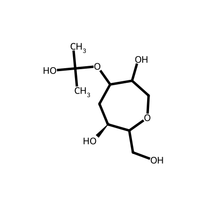 CC(C)(O)OC1C[C@H](O)C(CO)OCC1O